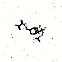 C=C(C)C(=C)OCC1CC2CC1CC2(OC(C)=O)C(F)(F)F